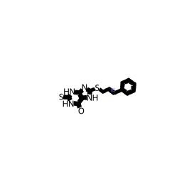 O=c1[nH]c(=S)[nH]c2nc(SC/C=C/c3ccccc3)[nH]c12